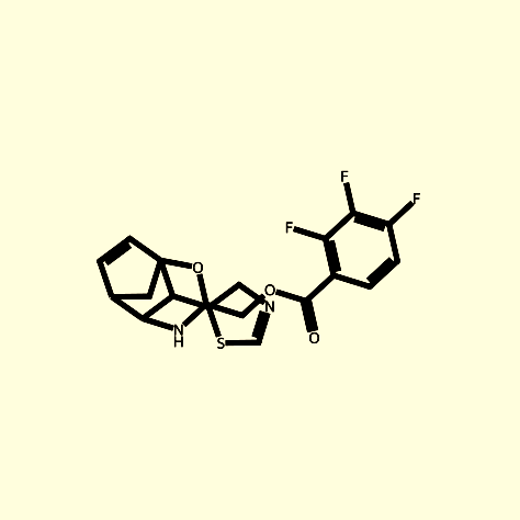 O=C(OCC1NC2C3C=CC(C3)(O1)C2C1CN=CS1)c1ccc(F)c(F)c1F